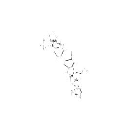 N#C[C@]1(c2ccc(-c3cc4c(cc3F)N3C(=O)O[C@@H](Cn5ccnn5)[C@@H]3C4)cn2)[C@@H]2CCC[C@@H]21